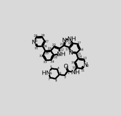 O=C(CC1CCNCC1)Nc1cncc(-c2ccc3[nH]nc(-c4cc5c(-c6cccnc6)cccc5[nH]4)c3n2)c1